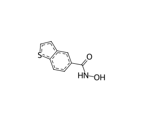 O=C(NO)c1ccc2sccc2c1